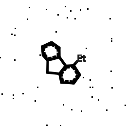 CCc1cccc2c1-c1ccc[c]c1C2